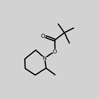 CC1CCCCN1OC(=O)C(C)(C)C